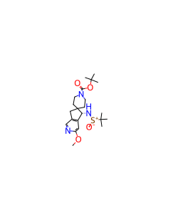 COc1cc2c(cn1)CC1(CCN(C(=O)OC(C)(C)C)CC1)[C@@H]2N[S@+]([O-])C(C)(C)C